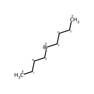 CCC[CH2][Bi][CH2]CCC